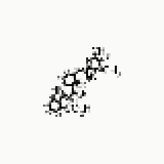 CCc1nc2c(C)cc(C)nc2n1Cc1ccc2[nH]c(-c3ccccc3C(=O)O)c(Cl)c(=O)c2c1